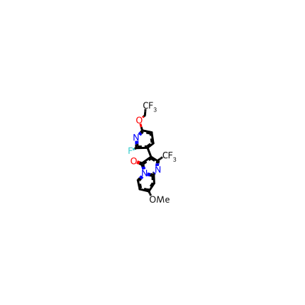 COc1ccn2c(=O)c(-c3ccc(OCC(F)(F)F)nc3F)c(C(F)(F)F)nc2c1